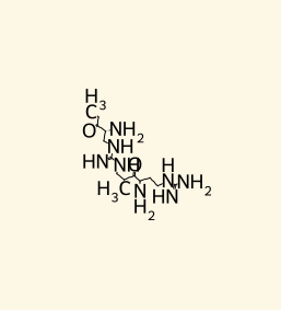 CCC(=O)[C@H](N)CNC(=N)NCC(C)C(=O)[C@H](N)CCNC(=N)N